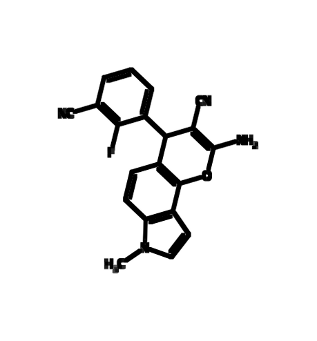 Cn1ccc2c3c(ccc21)C(c1cccc(C#N)c1F)C(C#N)=C(N)O3